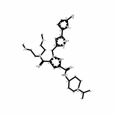 COCCN(CCOC)C(=O)c1cc(C(=O)NC2CCN(C(C)C)CC2)nn1Cc1cc(-c2ccc(Cl)s2)on1